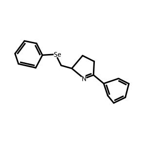 c1ccc([Se]CC2CCC(c3ccccc3)=N2)cc1